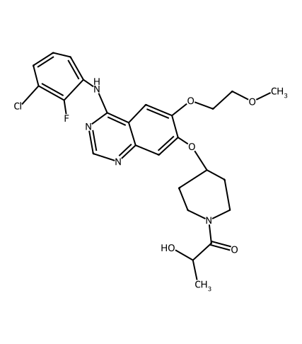 COCCOc1cc2c(Nc3cccc(Cl)c3F)ncnc2cc1OC1CCN(C(=O)C(C)O)CC1